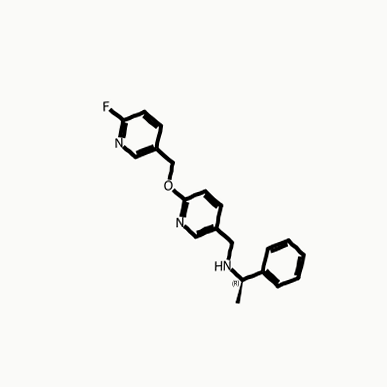 C[C@@H](NCc1ccc(OCc2ccc(F)nc2)nc1)c1ccccc1